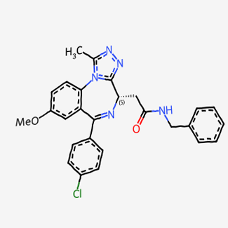 COc1ccc2c(c1)C(c1ccc(Cl)cc1)=N[C@@H](CC(=O)NCc1ccccc1)c1nnc(C)n1-2